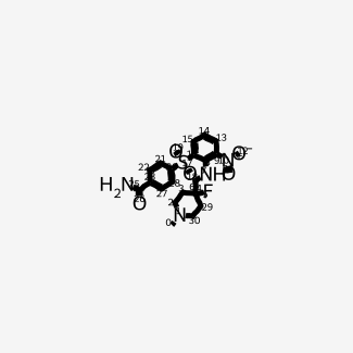 CN1CCC(F)(CNc2c([N+](=O)[O-])cccc2S(=O)(=O)c2ccc(C(N)=O)cc2)CC1